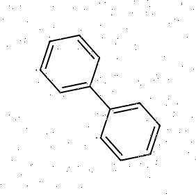 [c]1cccc(-c2[c]cccc2)c1